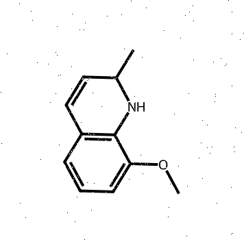 COc1cccc2c1NC(C)C=C2